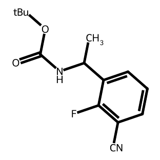 CC(NC(=O)OC(C)(C)C)c1cccc(C#N)c1F